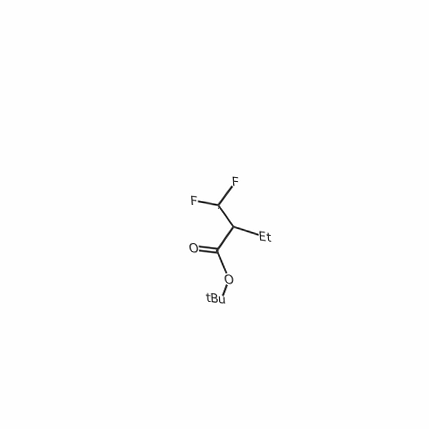 CCC([C](F)F)C(=O)OC(C)(C)C